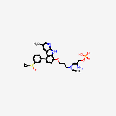 C=CN(/C=C(\N)COP(=O)(O)O)CCCOc1ccc(-c2cccc([S+]([O-])C3CC3)c2)c2c1[nH]c1ncc(C)cc12